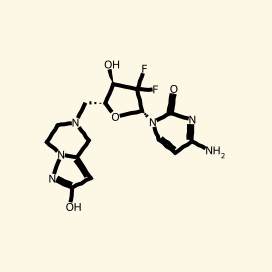 Nc1ccn([C@@H]2O[C@H](CN3CCn4nc(O)cc4C3)[C@@H](O)C2(F)F)c(=O)n1